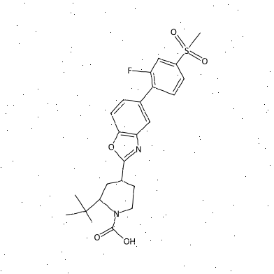 CC(C)(C)C1CC(c2nc3cc(-c4ccc(S(C)(=O)=O)cc4F)ccc3o2)CCN1C(=O)O